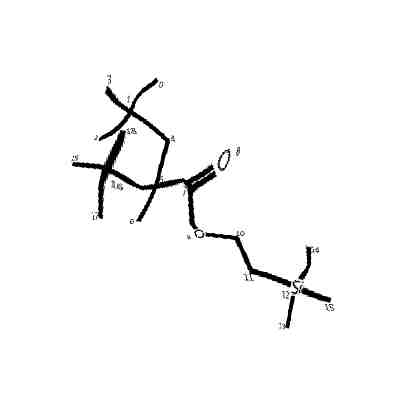 CC(C)(C)CC(C)(C(=O)OCC[Si](C)(C)C)C(C)(C)C